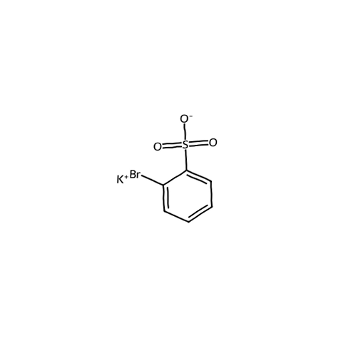 O=S(=O)([O-])c1ccccc1Br.[K+]